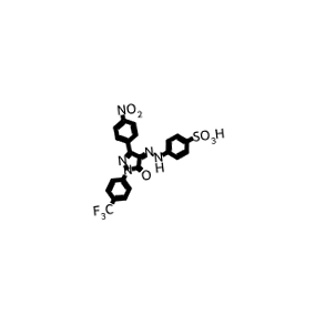 O=C1/C(=N\Nc2ccc(S(=O)(=O)O)cc2)C(c2ccc([N+](=O)[O-])cc2)=NN1c1ccc(C(F)(F)F)cc1